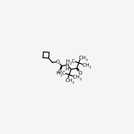 CC(C)(C)C(=O)C(NC(=O)OCC1CCC1)C(C)(C)C